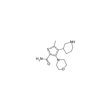 Cc1sc(C(N)=O)c(N2CCOCC2)c1C1CCCNC1